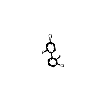 Fc1cc(Cl)ccc1-c1cc[c]c(Cl)c1F